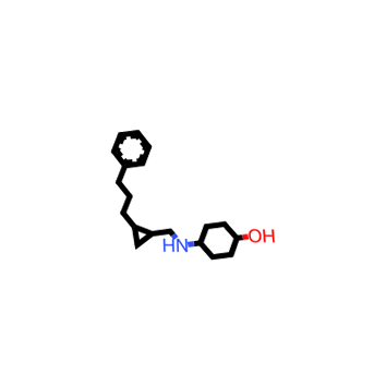 OC1CCC(NCC2CC2CCCc2ccccc2)CC1